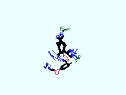 Cc1ccc(OCCN(C)C)cc1C(=O)N[C@H](C)c1cc(-c2cnn(C(F)F)c2)cc(-c2cnn(C(F)F)c2)c1